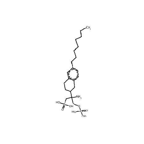 CCCCCCCCc1ccc2c(c1)CCC(C(N)(COP(=O)(O)O)CP(=O)(O)O)C2